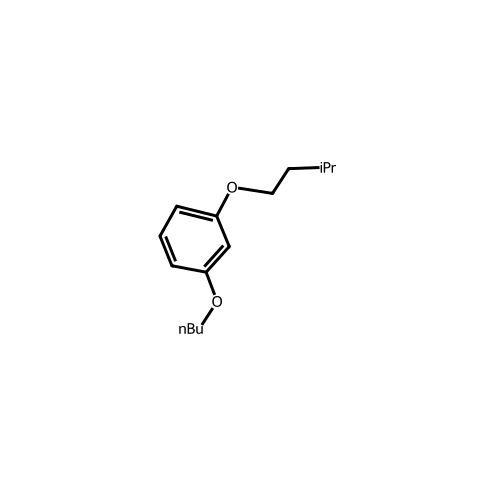 CCCCOc1cccc(OCCC(C)C)c1